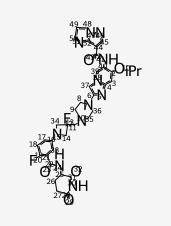 CC(C)Oc1cc2nc(N3CCN(CC4(F)CN(c5ccc(F)c(C(=O)NC6CCC(=O)NC6=O)c5)C4)CC3)cn2cc1NC(=O)c1cnn2cccnc12